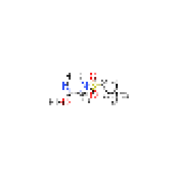 CCOC1=NCCN(S(=O)(=O)CC[Si](C)(C)C)C1C